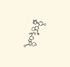 O=C=C1OC2(CCOCC2)n2c1cc1cc(NC(=O)[C@@H]3CCC4=CC(c5cc(Cl)ccc5-n5cnnn5)=CC(=C=O)N43)ccc12